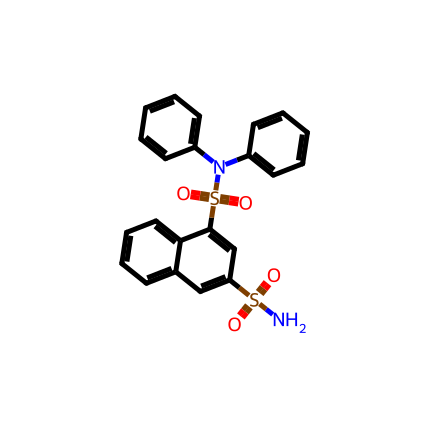 NS(=O)(=O)c1cc(S(=O)(=O)N(c2ccccc2)c2ccccc2)c2ccccc2c1